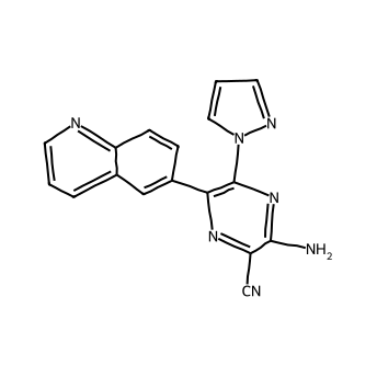 N#Cc1nc(-c2ccc3ncccc3c2)c(-n2cccn2)nc1N